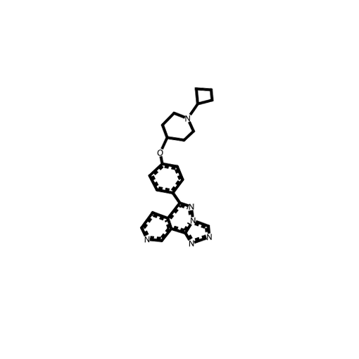 c1cc2c(-c3ccc(OC4CCN(C5CCC5)CC4)cc3)nn3cnnc3c2cn1